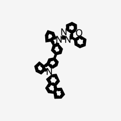 c1ccc2c(c1)Oc1cccc3nc(-n4c5ccccc5c5cc(-c6ccc7c(c6)c6ccccc6n7-c6ccc7c(ccc8ccccc87)c6)ccc54)nc-2c13